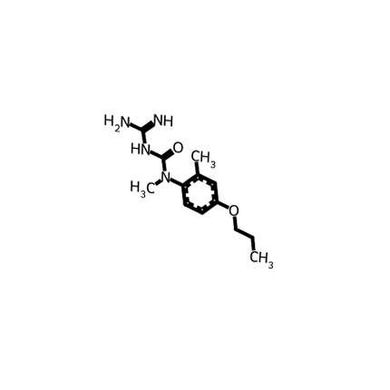 CCCOc1ccc(N(C)C(=O)NC(=N)N)c(C)c1